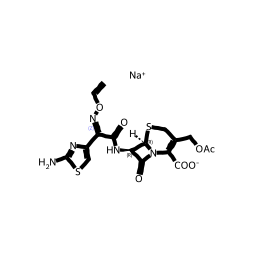 C=CO/N=C(\C(=O)N[C@@H]1C(=O)N2C(C(=O)[O-])=C(COC(C)=O)CS[C@H]12)c1csc(N)n1.[Na+]